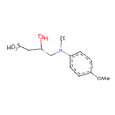 CCN(CC(O)CS(=O)(=O)O)c1ccc(OC)cc1